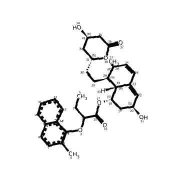 CCC(Oc1c(C)ccc2ccccc12)C(=O)O[C@H]1C[C@H](O)C=C2C=C[C@H](C)[C@H](CC[C@@H]3C[C@@H](O)CC(=O)O3)[C@H]21